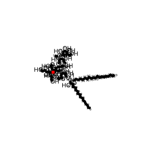 CCCCCCCCCCCCC/C=C/[C@@H](O)[C@H](CO[C@@H]1OC(CO)[C@@H](O[C@@H]2OC(CO)[C@H](O[C@@H]3OC(CO)[C@H](O)[C@H](O[C@@H]4OC(CO)[C@H](O)[C@H](O)C4O)C3NC(C)=O)[C@H](O[C@]3(C(=O)O)CC(O)[C@@H](NC(=O)CO)C([C@H](O)[C@H](O)CO)O3)C2O)[C@H](O)C1O)NC(=O)CCCCCCCCCCCCCCCCCCC